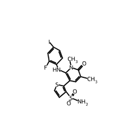 Cc1cc(-c2sccc2S(N)(=O)=O)c(Nc2ccc(I)cc2F)n(C)c1=O